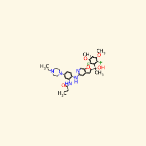 C=CC(=O)Nc1cc(N2CCN(CC)CC2)ccc1Nc1cc2cc(C(C)(O)c3c(F)c(OC)cc(OC)c3F)oc2cn1